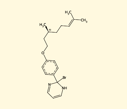 CC(C)=CCC[C@H](C)CCOc1ccc(C2(Br)N=CC=CN2)cc1